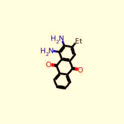 CCc1cc2c(c(N)c1N)C(=O)c1ccccc1C2=O